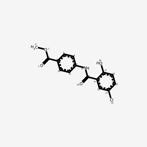 COC(=O)c1ccc(NC(=O)c2cc(Cl)ccc2O)cc1